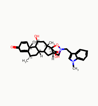 C[C@H]1C[C@@H]2C([C@@H](O)C[C@@]3(C)C2C[C@H]2CN(Cc4cn(C)c5ccccc45)O[C@]23C(=O)O)[C@@]2(C)C=CC(=O)C=C12